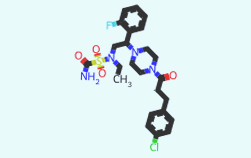 CCN(CC(c1ccccc1F)N1CCN(C(=O)[CH]Cc2ccc(Cl)cc2)CC1)S(=O)(=O)C(N)=O